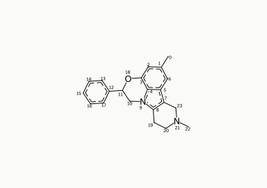 Cc1cc2c3c(c1)c1c(n3CC(c3ccccc3)O2)CCN(C)C1